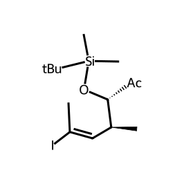 CC(=O)[C@@H](O[Si](C)(C)C(C)(C)C)[C@@H](C)/C=C(\C)I